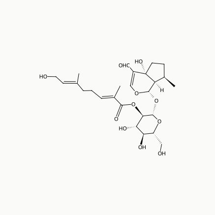 C/C(=C\CO)CC/C=C(\C)C(=O)O[C@H]1[C@H](O[C@@H]2OC=C(C=O)[C@@]3(O)CC[C@@H](C)[C@@H]23)O[C@H](CO)[C@@H](O)[C@@H]1O